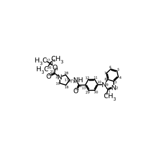 Cc1nc2ccccc2n1-c1ccc(C(=O)N[C@@H]2CCN(C(=O)OC(C)(C)C)C2)cc1